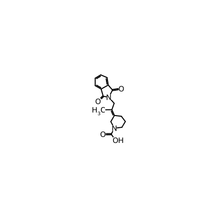 CC(CN1C(=O)c2ccccc2C1=O)=C1CCCN(C(=O)O)C1